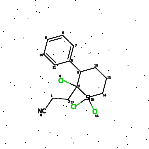 N#CCCC1(Cl)C(c2ccccc2)CCC[Si]1(Cl)Cl